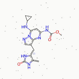 C=c1[nH]c(=O)[nH]/c1=C\c1cnn2c(NC3CC3)cc(NC(=O)OC)nc12